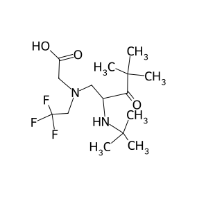 CC(C)(C)NC(CN(CC(=O)O)CC(F)(F)F)C(=O)C(C)(C)C